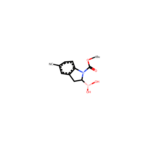 CC(C)(C)OC(=O)N1c2ccc(C#N)cc2CC1B(O)O